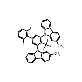 Cc1ccc2c3ccccc3n(-c3cc(-c4c(F)cccc4F)cc(-n4c5ccccc5c5ccc(C)cc54)c3C(F)(F)F)c2c1